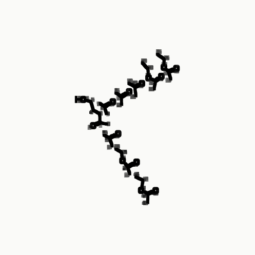 CC(=O)CCCO.CC(C)=O.CC(C)=O.CC(C)=O.CC(C)=O.CCOC(C)=O.CCOC(C)=O.CCOC(C)=O.CCOC(C)=O